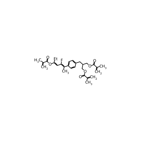 C=C(C)C(=O)OCC(COC(=O)C(=C)C)Cc1ccc(/C(C)=C(F)/C=C(\CC)OC(=O)C(=C)C)cc1